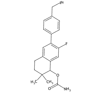 CC(C)Cc1ccc(-c2cc3c(cc2F)C(OC(N)=O)C(C)(C)CC3)cc1